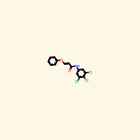 O=C(C=COc1ccccc1)Nc1cc(Cl)c(Cl)c(Cl)c1